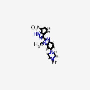 CCN1CCN(c2ccc3nc(-c4n[nH]c5c([N+](=O)[O-])cccc45)n(C)c3c2)CC1